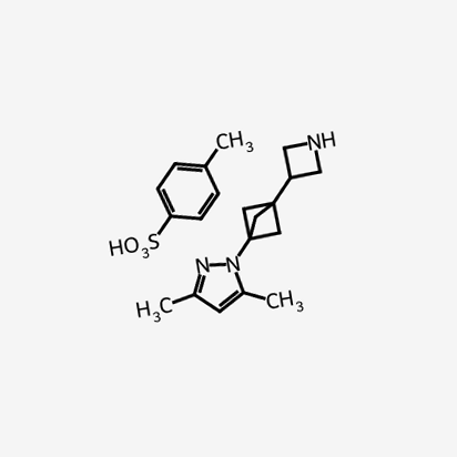 Cc1cc(C)n(C23CC(C4CNC4)(C2)C3)n1.Cc1ccc(S(=O)(=O)O)cc1